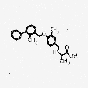 Cc1cc(CN[C@H](C)C(=O)O)ccc1OCc1cccc(-c2ccccc2)c1C